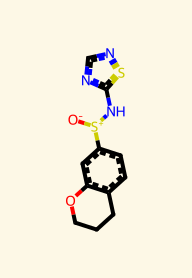 [O-][S+](Nc1ncns1)c1ccc2c(c1)OCCC2